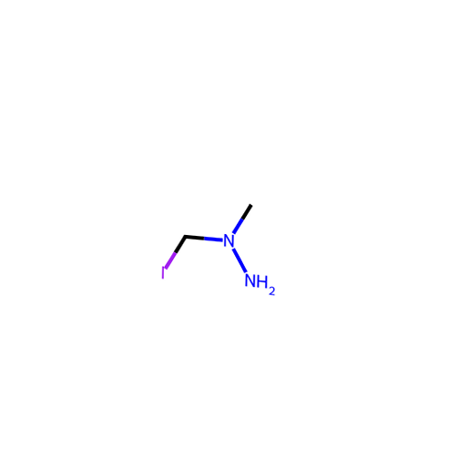 CN(N)CI